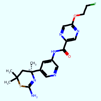 CC1(C)C[C@@](C)(c2cncc(NC(=O)c3cnc(OCCF)cn3)c2)N=C(N)S1